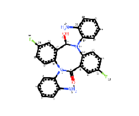 Nc1ccccc1N1C(=O)c2cc(F)ccc2N(c2ccccc2N)C(O)c2cc(F)ccc21